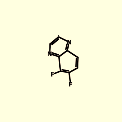 Fc1ccc2n[c]cnc2c1F